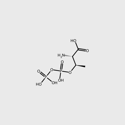 C[C@@H](OP(=O)(O)OP(=O)(O)O)[C@H](N)C(=O)O